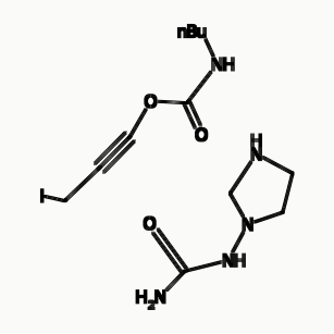 CCCCNC(=O)OC#CCI.NC(=O)NN1CCNC1